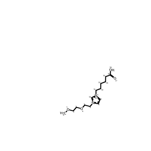 COCCOCCn1cc[n+](CCCCCC(=O)O)c1